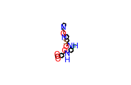 O=C(Nc1ccc(F)c(NC(=O)c2cc3ccc(OCCN4CCCC4)nc3s2)c1)c1ccc2c(c1)OCCO2